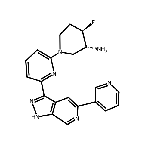 N[C@@H]1CN(c2cccc(-c3n[nH]c4cnc(-c5cccnc5)cc34)n2)CC[C@H]1F